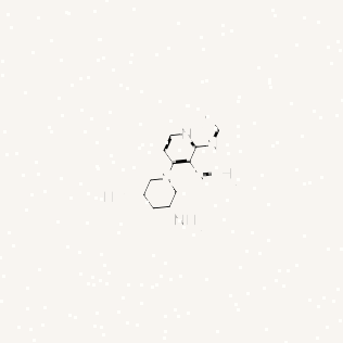 C=Nc1c(N2C[C@@H](C)C[C@@H](N)C2)ccnc1/N=C\C